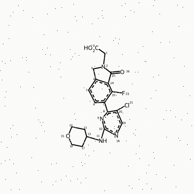 O=C(O)CN1Cc2ccc(-c3nc(NC4CCOCC4)ncc3Cl)c(F)c2C1=O